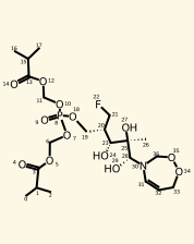 CC(C)C(=O)OCOP(=O)(OCOC(=O)C(C)C)OC[C@H](CF)[C@@H](O)[C@@](C)(O)[C@@H](O)N1C=CCOOC1